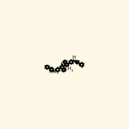 Cc1cc(-c2ccc(Nc3ccc(-c4ccccc4)cc3)cc2)c2ccccc2c1-c1c(C)cc(C2CCC(Nc3ccc(-c4ccccc4)cc3)CC2)c2ccccc12